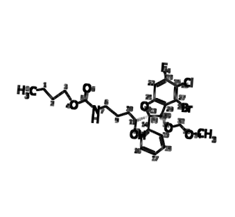 CCCCOC(=O)NCCCC(O)[C@]1(c2ccccc2)Oc2cc(F)c(Cl)c(Br)c2[C@@H]1OCOC